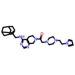 O=C(CN1CCN(CCn2cccc2)CC1)N1CCc2c(ncnc2NCC2C3CC4CC(C3)CC2C4)C1